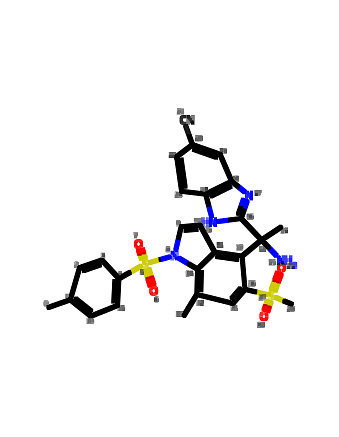 Cc1ccc(S(=O)(=O)n2ccc3c(C(C)(N)c4nc5cc(C#N)ccc5[nH]4)c(S(C)(=O)=O)cc(C)c32)cc1